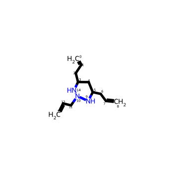 C=CCC1CC(CC=C)NN(CC=C)N1